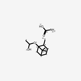 CC(O)OC12CC(CCC1C)C2(C)C.NC(=O)O